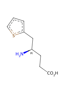 N[C@H](CCC(=O)O)Cc1cccs1